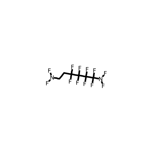 FN(F)CCC(F)(F)C(F)(F)C(F)(F)C(F)(F)N(F)F